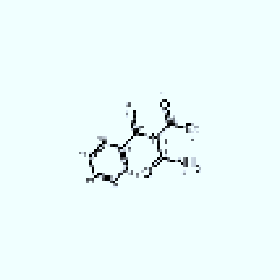 CCC(=O)N(C(N)=O)C(=O)c1ccccc1